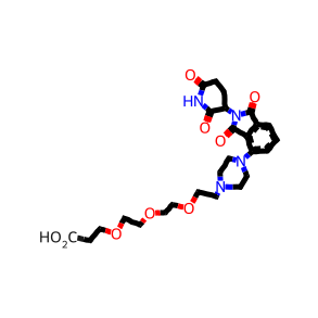 O=C(O)CCOCCOCCOCCN1CCN(c2cccc3c2C(=O)N(C2CCC(=O)NC2=O)C3=O)CC1